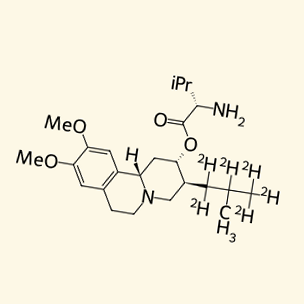 [2H]C([2H])([2H])C([2H])(C)C([2H])([2H])[C@H]1CN2CCc3cc(OC)c(OC)cc3[C@@H]2C[C@@H]1OC(=O)[C@@H](N)C(C)C